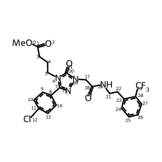 COC(=O)CCCn1c(-c2ccc(Cl)cc2)nn(CC(=O)NCCc2ccccc2C(F)(F)F)c1=O